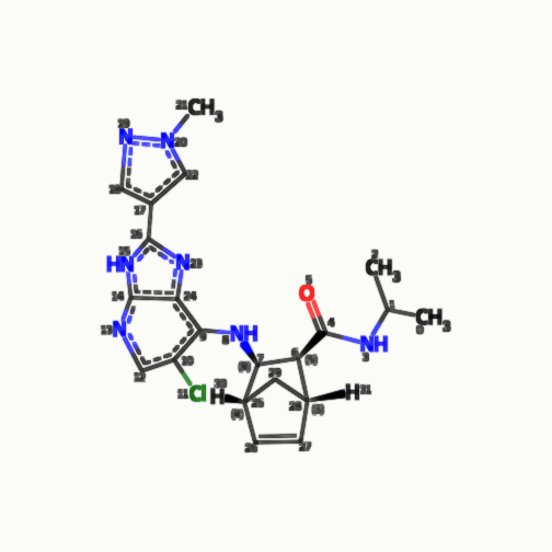 CC(C)NC(=O)[C@@H]1[C@H](Nc2c(Cl)cnc3[nH]c(-c4cnn(C)c4)nc23)[C@H]2C=C[C@@H]1C2